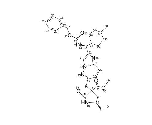 CC[C@@H]1CC(Cc2ccc3nc([C@@H](NC(=O)OCc4ccccc4)C4CCC(C)CC4)cn3n2)(C(=O)OC)C(=O)N1